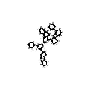 c1ccc(-c2nc(-c3ccc4c(c3)oc3ccccc34)nc(-c3cc(-c4cccc5c4Cc4c(-c6ccccc6)cccc4-5)c4ccc5ccccc5c4c3)n2)cc1